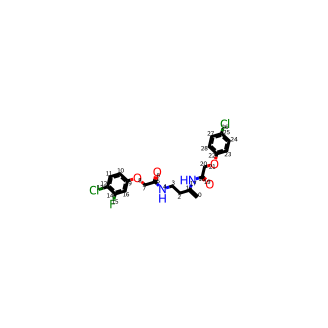 C=C(CCNC(=O)COc1ccc(Cl)c(F)c1)NC(=O)COc1ccc(Cl)cc1